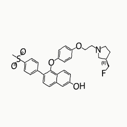 CS(=O)(=O)c1ccc(-c2ccc3cc(O)ccc3c2Oc2ccc(OCCN3CC[C@@H](CF)C3)cc2)cc1